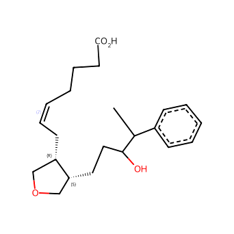 CC(c1ccccc1)C(O)CC[C@@H]1COC[C@@H]1C/C=C\CCCC(=O)O